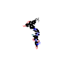 Cc1cccc(C2COc3cc(O)ccc3C2c2ccc(N3CCC(CN4CCN(c5cc6c(cc5F)C(=O)N([C@H]5CCC(=O)NC5=O)C6)CC4)CC3)cc2)c1